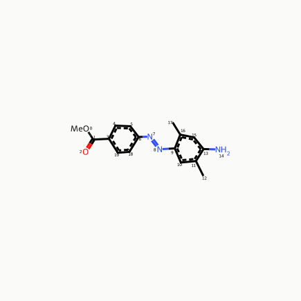 COC(=O)c1ccc(/N=N/c2cc(C)c(N)cc2C)cc1